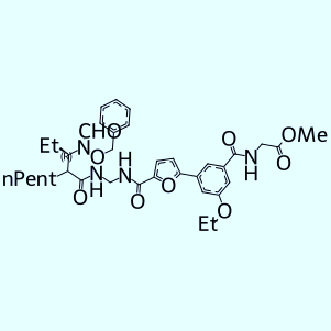 CCCCCC(C(=O)NCNC(=O)c1ccc(-c2cc(OCC)cc(C(=O)NCC(=O)OC)c2)o1)[C@@H](CC)N(C=O)OCc1ccccc1